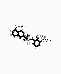 COc1cccc(CNS(=O)(=O)c2ccc3c(NC(C)=O)cccc3c2)c1OC